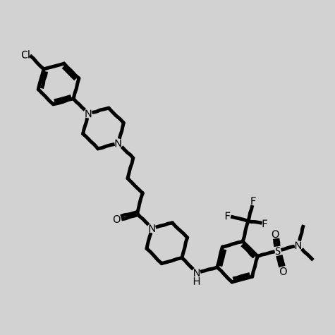 CN(C)S(=O)(=O)c1ccc(NC2CCN(C(=O)CCCN3CCN(c4ccc(Cl)cc4)CC3)CC2)cc1C(F)(F)F